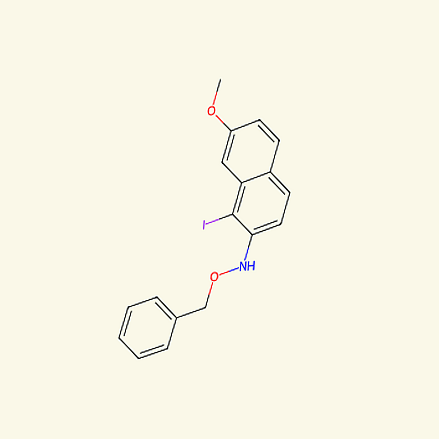 COc1ccc2ccc(NOCc3ccccc3)c(I)c2c1